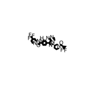 Nc1nccn2c([C@@H]3CCCN(C(=O)C4CC4(F)F)C3)nc(-c3ccc(C(=O)Nc4cc(C(F)(F)F)ccn4)cc3)c12